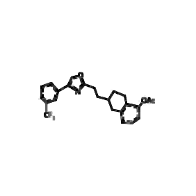 CC(=O)Oc1cccc2c1CCC(CCc1nc(-c3cccc(C(F)(F)F)c3)co1)C2